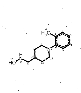 Cc1ccccc1N1CCC(CNO)CC1